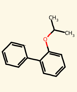 CC(C)Oc1ccccc1-c1[c]cccc1